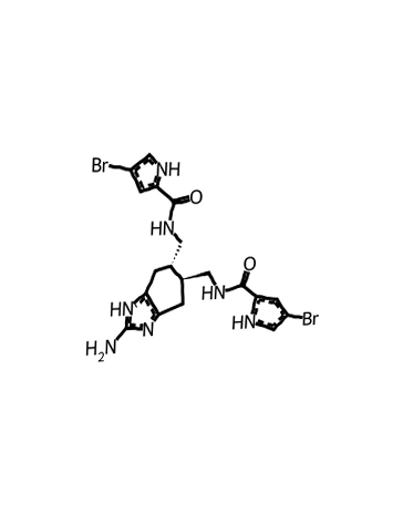 Nc1nc2c([nH]1)C[C@H](CNC(=O)c1cc(Br)c[nH]1)[C@@H](CNC(=O)c1cc(Br)c[nH]1)C2